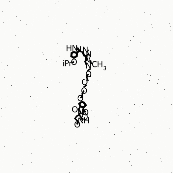 CC(C)Oc1ccc2[nH]nc(-c3cc(N4CCN(CCOCCOCCOCCOc5ccc6c(c5)C(=O)N(C5CCC(=O)NC5=O)C6=O)[C@@H](C)C4)ncn3)c2c1